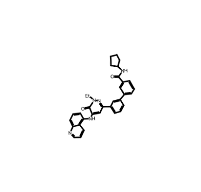 CCn1nc(-c2cccc(-c3cccc(C(=O)NC4CCCC4)c3)c2)cc(Nc2cccc3ncccc23)c1=O